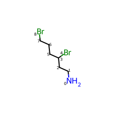 NCCC(Br)CCCBr